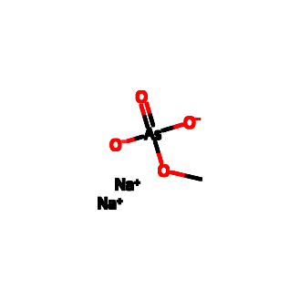 CO[As](=O)([O-])[O-].[Na+].[Na+]